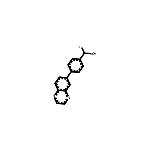 CCCC(CC)c1ccc(-c2ccc3nccnc3c2)cc1